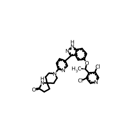 C[C@@H](Oc1ccc2[nH]nc(-c3ccc(N4CCC5(CCC(=O)N5)CC4)nc3)c2c1)c1c(Cl)cncc1Cl